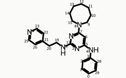 c1ccc(Nc2cc(N3CCCCCCC3)nc(NCCc3ccncc3)n2)cc1